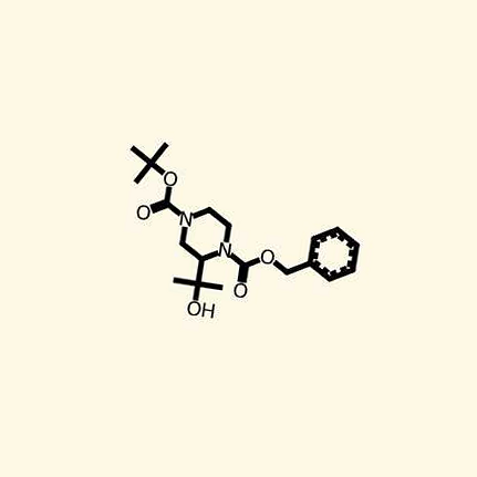 CC(C)(C)OC(=O)N1CCN(C(=O)OCc2ccccc2)C(C(C)(C)O)C1